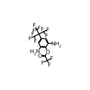 Nc1cc(C(C(F)(F)F)(C(F)(F)F)C(F)(F)F)cc(N)c1OC(=O)C(F)(F)F